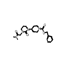 CN(C)C(=O)CN1CCCN(C2CCN(C(=O)OCc3ccccc3)CC2)C1=O